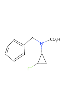 O=C(O)N(Cc1ccccc1)C1CC1F